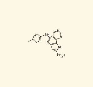 Cc1ccc(Nc2nc3cc(C(=O)O)[nH]c3c3ccncc23)cc1